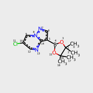 CC1(C)OB(c2cnn3cc(Cl)cnc23)OC1(C)C